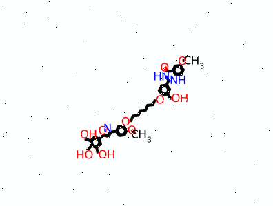 COc1ccc2c(c1)C(=O)NC(c1ccc(OCCCCCCCCOc3cc(-c4cc(-c5cc(CO)c(CO)c(CO)c5)on4)ccc3OC)c(CO)c1)N2